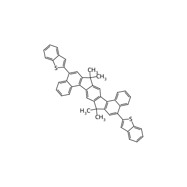 CC1(C)c2cc3c(cc2-c2c1cc(-c1cc4ccccc4s1)c1ccccc21)C(C)(C)c1cc(-c2cc4ccccc4s2)c2ccccc2c1-3